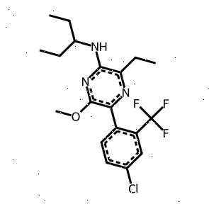 CCc1nc(-c2ccc(Cl)cc2C(F)(F)F)c(OC)nc1NC(CC)CC